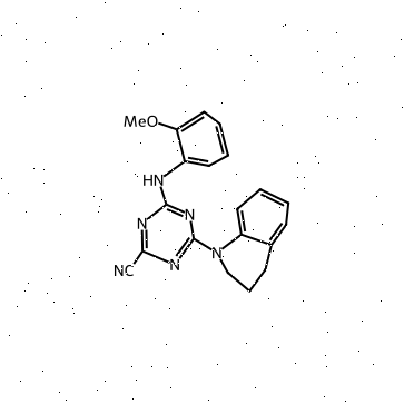 COc1ccccc1Nc1nc(C#N)nc(N2CCCc3ccccc32)n1